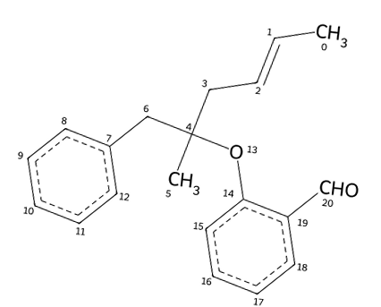 CC=CCC(C)(Cc1ccccc1)Oc1ccccc1C=O